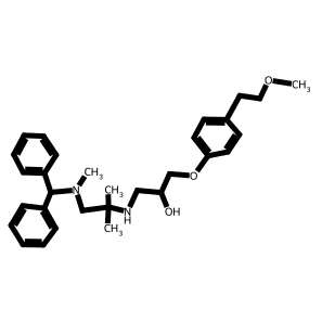 COCCc1ccc(OCC(O)CNC(C)(C)CN(C)C(c2ccccc2)c2ccccc2)cc1